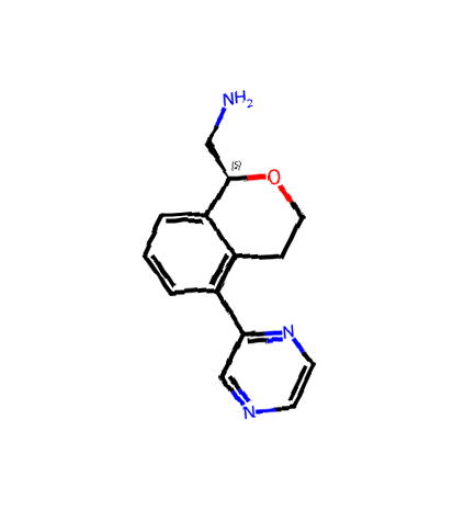 NC[C@H]1OCCc2c(-c3cnccn3)cccc21